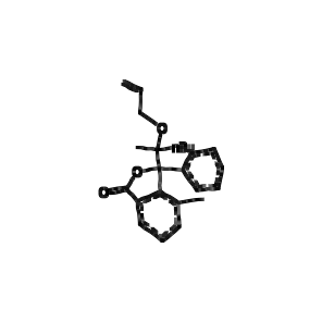 C=CCOC(C)(CCCC)C1(c2ccccc2)OC(=O)c2cccc(C)c21